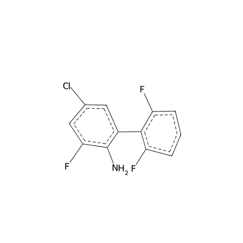 Nc1c(F)cc(Cl)cc1-c1c(F)cccc1F